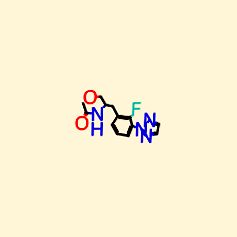 O=C1COCC(Cc2cccc(-n3nccn3)c2F)N1